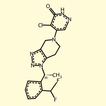 C[C@H](c1ccccc1C(F)F)n1nnc2c1CCN(c1cn[nH]c(=O)c1Cl)C2